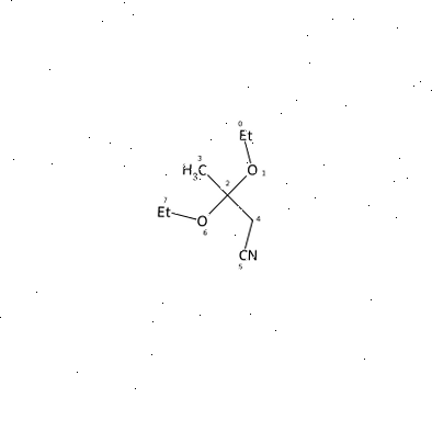 CCOC(C)(CC#N)OCC